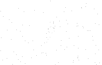 COC1(C)CCc2c(cc(C(C)C)c(O)c2C(C)C)O1